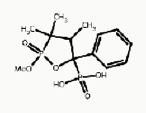 COP1(=O)OC(c2ccccc2)(P(=O)(O)O)C(C)C1(C)C